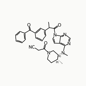 CC(C(=O)n1ccc2c(N(C)[C@H]3CN(C(=O)CC#N)CC[C@H]3C)ncnc21)c1cccc(C(=O)c2ccccc2)c1